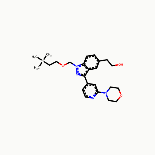 C[Si](C)(C)CCOCn1nc(-c2ccnc(N3CCOCC3)c2)c2cc(CCO)ccc21